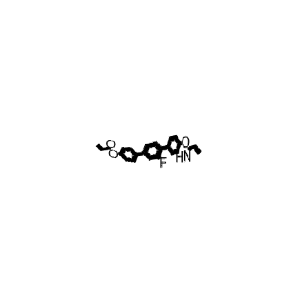 C=CC(=N)Oc1ccc(-c2ccc(-c3ccc(OC(=O)C=C)cc3)cc2F)cc1